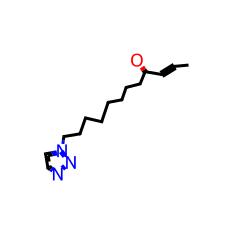 CC#CC(=O)CCCCCCCCn1ccnn1